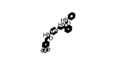 CS(=O)(=O)c1ccc(CC(=O)NN2CCN(CCC(NC(=O)NC3CCCCC3)c3ccccc3)CC2)cc1